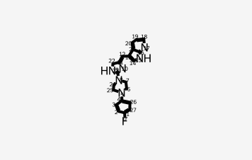 Fc1ccc(N2CCN(C3=N/C(=C\c4c[nH]c5ncccc45)CN3)CC2)cc1